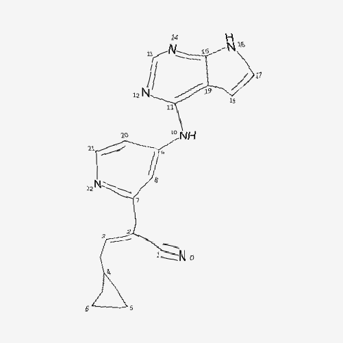 N#C/C(=C\C1CC1)c1cc(Nc2ncnc3[nH]ccc23)ccn1